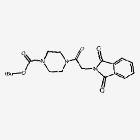 CC(C)(C)OC(=O)N1CCN(C(=O)CN2C(=O)c3ccccc3C2=O)CC1